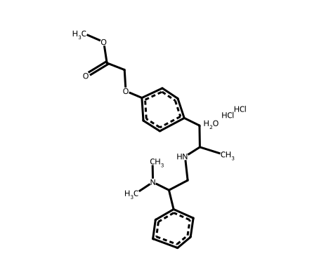 COC(=O)COc1ccc(CC(C)NCC(c2ccccc2)N(C)C)cc1.Cl.Cl.O